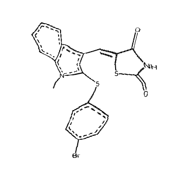 Cn1c(Sc2ccc(Br)cc2)c(C=C2SC(=O)NC2=O)c2ccccc21